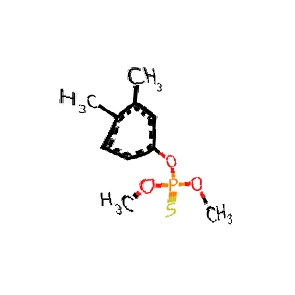 COP(=S)(OC)Oc1ccc(C)c(C)c1